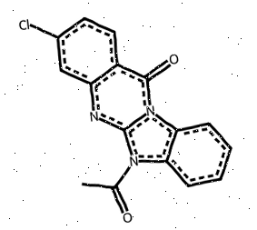 CC(=O)n1c2ccccc2n2c(=O)c3ccc(Cl)cc3nc12